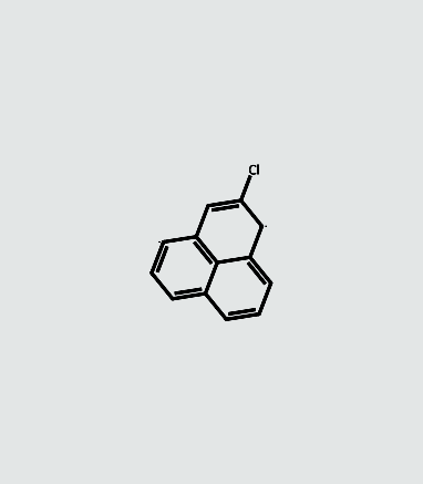 ClC1=Cc2[c]ccc3cccc(c23)[CH]1